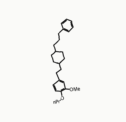 CCCOc1ccc(CCC2CCC(CCCc3ccccc3)CC2)cc1OC